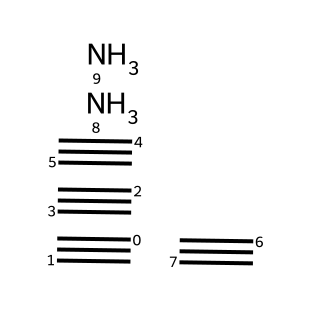 C#C.C#C.C#C.C#C.N.N